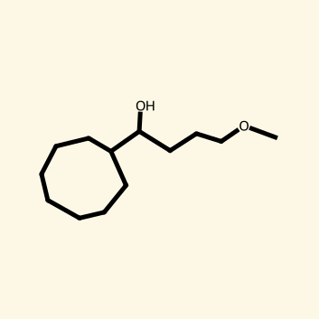 COCCCC(O)C1CCCCCCC1